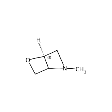 CN1C[C@@H]2OCC21